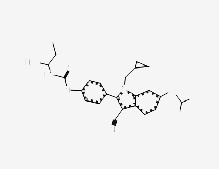 CCC(C)NC(=O)Nc1ccc(-c2c(C#N)c3ccc(OC(F)F)cc3n2CC2CC2)cc1